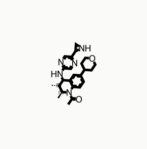 CC(=O)N1c2ccc(C3CCOCC3)cc2C(Nc2cnc(C3CN3)cn2)[C@@H](C)[C@@H]1C